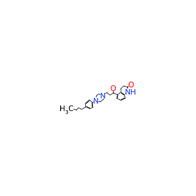 CCCCc1ccc(N2CCN(CCC(=O)c3cccc4c3CCC(=O)N4)CC2)cc1